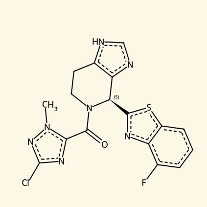 Cn1nc(Cl)nc1C(=O)N1CCc2[nH]cnc2[C@H]1c1nc2c(F)cccc2s1